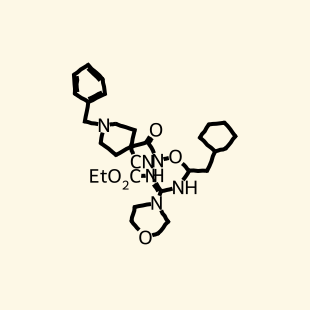 CCOC(=O)N=C(NC(CC1CCCCC1)ONC(=O)C1(C#N)CCN(Cc2ccccc2)CC1)N1CCOCC1